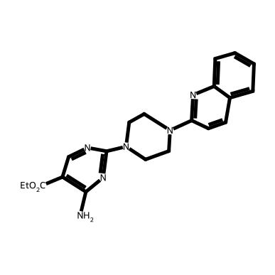 CCOC(=O)c1cnc(N2CCN(c3ccc4ccccc4n3)CC2)nc1N